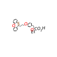 CCOC(Cc1ccc(OCCCC2Sc3ccccc3Oc3ccccc32)cc1)C(=O)O